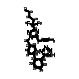 CC#CCc1nc(C(F)(F)CCCC)nn1Cc1ccc(-c2ccccc2-c2nnn[nH]2)cc1